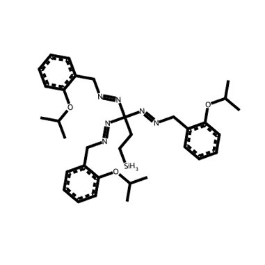 CC(C)Oc1ccccc1CN=NC(CC[SiH3])(N=NCc1ccccc1OC(C)C)N=NCc1ccccc1OC(C)C